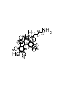 COc1cc(C2c3cc4c(cc3[C@@H](NC(=O)CCCCN)[C@H]3COC(=O)[C@H]23)OCO4)cc(OC)c1O